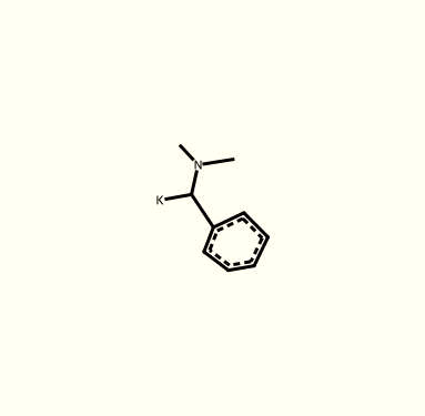 CN(C)[CH]([K])c1ccccc1